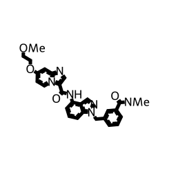 CNC(=O)c1cccc(Cn2ncc3c(NC(=O)c4cnc5cc(OCCOC)ccn45)cccc32)c1